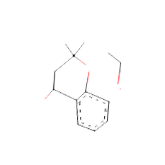 CC1(C)CC(O)c2ccccc2O1.CCO